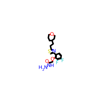 NNC(=O)COc1c(-c2csc(CCC3CCCOCC3)n2)ccc(F)c1F